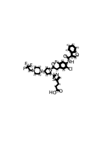 O=C(O)CCc1cnc([C@@H]2C[C@H](N3CCN(CC(F)(F)F)CC3)CN2C(=O)Cc2cc(Cl)c(NC(=O)c3coc4ccccc34)cc2F)s1